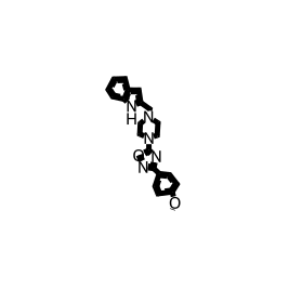 COc1ccc(-c2noc(N3CCN(Cc4cc5ccccc5[nH]4)CC3)n2)cc1